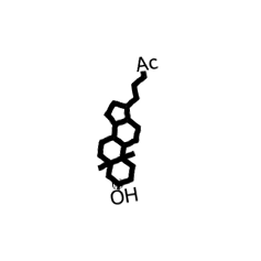 CC(=O)CCCC1CCC2C1CCC1C2CCC2(C)C[C@H](O)CCC12C